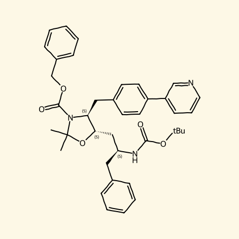 CC(C)(C)OC(=O)N[C@@H](Cc1ccccc1)C[C@@H]1OC(C)(C)N(C(=O)OCc2ccccc2)[C@H]1Cc1ccc(-c2cccnc2)cc1